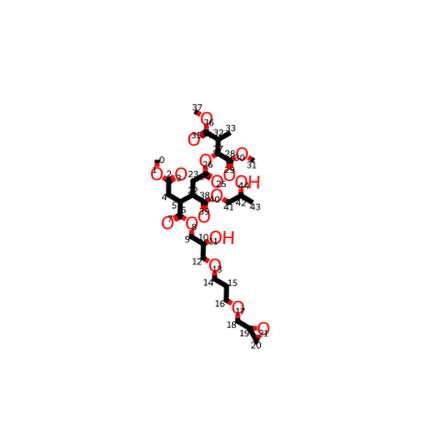 COC(=O)CC(C(=O)OCC(O)COCCCOCC1CO1)C(CC(=O)OC(C(=O)OC)C(C)C(=O)OC)C(=O)OCC(C)O